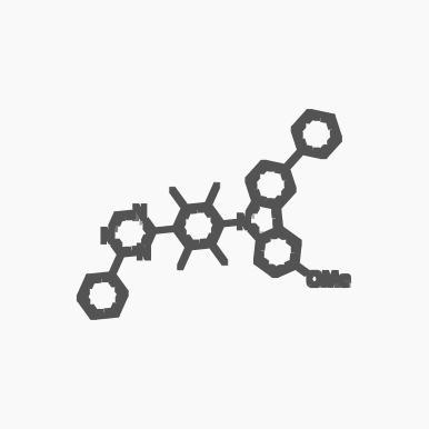 COc1ccc2c(c1)c1cc(-c3ccccc3)ccc1n2-c1c(C)c(C)c(-c2ncnc(-c3ccccc3)n2)c(C)c1C